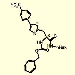 CCCCCCNC(=O)[C@H](Cc1ncc(-c2ccc(C(=O)O)cc2)o1)NC(=O)OCc1ccccc1